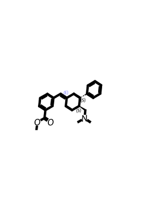 COC(=O)c1cccc(/C=C2\CC[C@H](CN(C)C)[C@@H](c3ccccc3)C2)c1